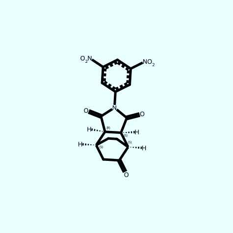 O=C1C[C@@H]2CC[C@H]1[C@@H]1C(=O)N(c3cc([N+](=O)[O-])cc([N+](=O)[O-])c3)C(=O)[C@H]21